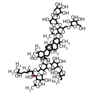 C=CC(C)(O)CC/C=C(\C)C(=O)OCC1OC(OC(=O)C23CCC4(C)C(=CCC5C6(C)CCC(OC7OC(COC8OC(CO)C(O)C(O)C8O)C(OC8OCC(O)C(O)C8OC8OCC(O)C(O)C8O)C(O)C7NC(C)=O)C(C)(C)C6CCC54C)C2CC(C)(C)C(O)C3O)C(OC2OCC(OC3OCC(O)(CC)C3O)C(O)C2O)C(O)C1OC1OC(CO)C(OC(C)=O)C(O)C1O